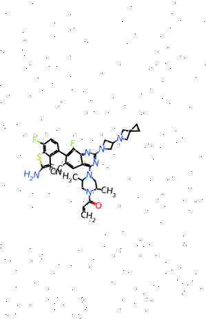 C=CC(=O)N1CC(C)N(c2nc(N3CC(N4CC5(CC5)C4)C3)nc3c(F)c(-c4ccc(F)c5sc(N)c(C#N)c45)c(C(F)(F)F)cc23)CC1C